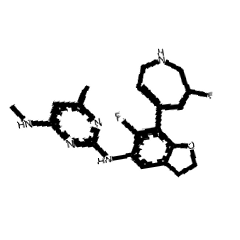 CNc1cc(C)nc(Nc2cc3c(c(C4=CCNCC(F)C4)c2F)OCC3)n1